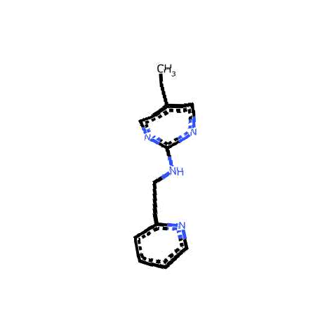 Cc1cnc(NCc2ccccn2)nc1